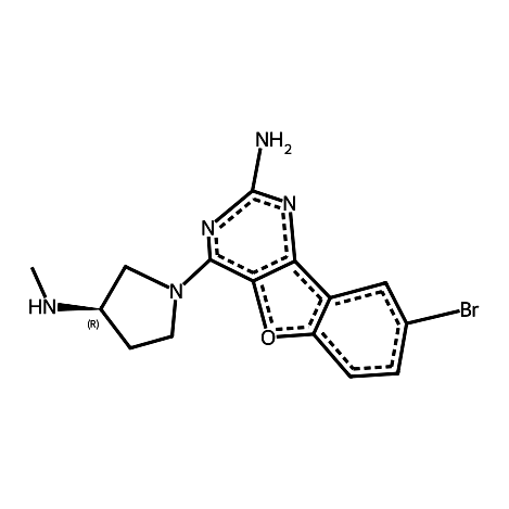 CN[C@@H]1CCN(c2nc(N)nc3c2oc2ccc(Br)cc23)C1